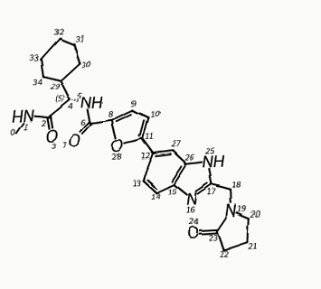 CNC(=O)[C@@H](NC(=O)c1ccc(-c2ccc3nc(CN4CCCC4=O)[nH]c3c2)o1)C1CCCCC1